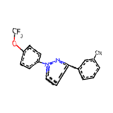 N#Cc1cccc(-c2ccn(-c3ccc(OC(F)(F)F)cc3)n2)c1